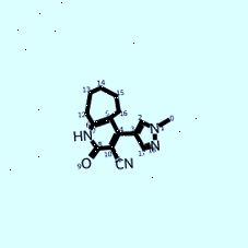 Cn1cc(-c2c3c([nH]c(=O)c2C#N)CCCCC3)cn1